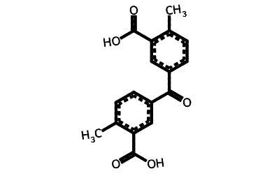 Cc1ccc(C(=O)c2ccc(C)c(C(=O)O)c2)cc1C(=O)O